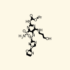 CC(C)OC(=O)Nc1nc(NCCCO)c(N=Nc2ncn(-c3ncco3)n2)c(S(N)(=O)=O)n1